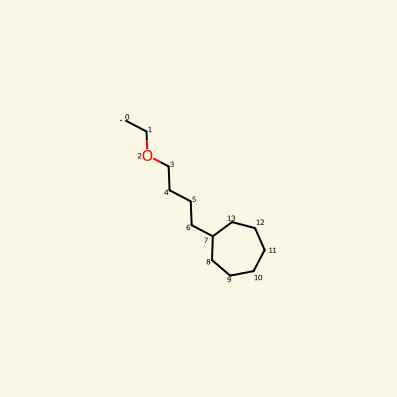 [CH2]COCCCCC1CCCCCC1